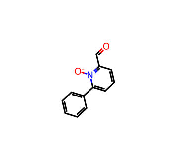 O=Cc1cccc(-c2ccccc2)[n+]1[O-]